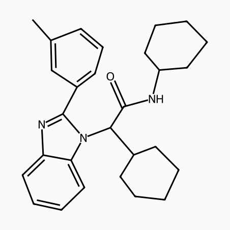 Cc1cccc(-c2nc3ccccc3n2C(C(=O)NC2CCCCC2)C2CCCCC2)c1